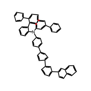 c1ccc(-c2cccc(N(c3ccc(-c4ccc(-c5cccc(-c6ccc7ccccc7c6)c5)cc4)cc3)c3ccccc3-c3ccccc3-c3ccccc3)c2)cc1